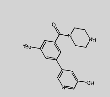 CC(C)(C)c1cc(C(=O)N2CCNCC2)cc(-c2cncc(O)c2)c1